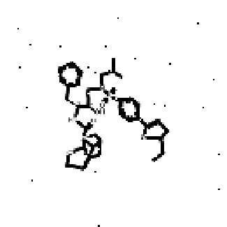 CCC1CC=C(c2ccc(S(=O)(=O)N(CC(C)C)C[C@@H](O)[C@H](Cc3ccccc3)NC(=O)OC3C4COC5OCC3C5C4)cc2)O1